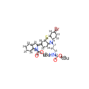 CC(C)(C)OC(=O)NCCCN1c2ccc(Br)cc2Sc2cc(-c3cc4ccccc4n3C(=O)OC(C)(C)C)ccc21